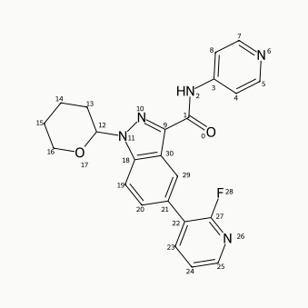 O=C(Nc1ccncc1)c1nn(C2CCCCO2)c2ccc(-c3cccnc3F)cc12